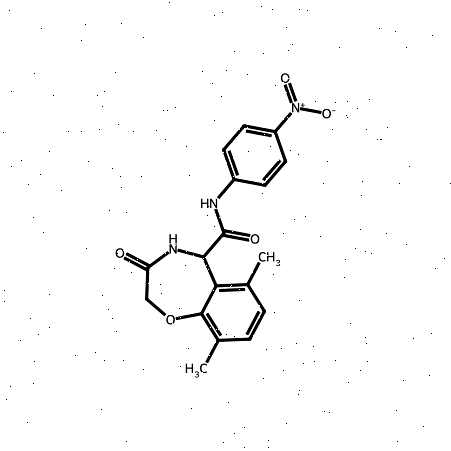 Cc1ccc(C)c2c1OCC(=O)NC2C(=O)Nc1ccc([N+](=O)[O-])cc1